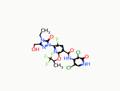 CCn1c(CO)nn(-c2nc(OC(C)C(F)(F)F)c(C(=O)Nc3c(Cl)c[nH]c(=O)c3Cl)cc2F)c1=O